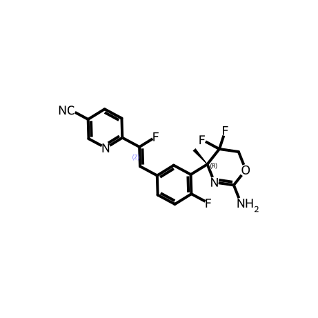 C[C@]1(c2cc(/C=C(\F)c3ccc(C#N)cn3)ccc2F)N=C(N)OCC1(F)F